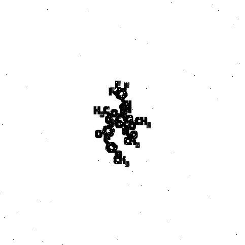 COc1ccc(Cn2ccc(S[C@H]3O[C@H](COC(C)=O)[C@H](OC(C)=O)[C@H](n4cc(-c5cc(F)c(F)c(F)c5)nn4)[C@H]3OC(C)=O)cc2=O)cc1